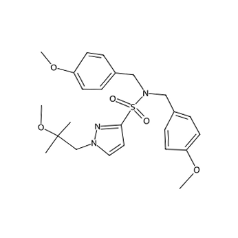 COc1ccc(CN(Cc2ccc(OC)cc2)S(=O)(=O)c2ccn(CC(C)(C)OC)n2)cc1